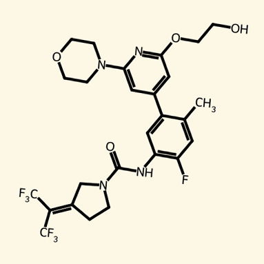 Cc1cc(F)c(NC(=O)N2CCC(=C(C(F)(F)F)C(F)(F)F)C2)cc1-c1cc(OCCO)nc(N2CCOCC2)c1